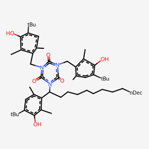 CCCCCCCCCCCCCCCCCCC(c1c(C)cc(C(C)(C)C)c(O)c1C)n1c(=O)n(Cc2c(C)cc(C(C)(C)C)c(O)c2C)c(=O)n(Cc2c(C)cc(C(C)(C)C)c(O)c2C)c1=O